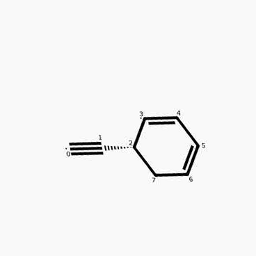 [C]#C[C@@H]1[C]=CC=CC1